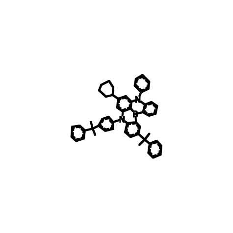 CC(C)(c1ccccc1)c1ccc(N2c3ccc(C(C)(C)c4ccccc4)cc3B3c4ccccc4N(c4ccccc4)c4cc(C5CCCCC5)cc2c43)cc1